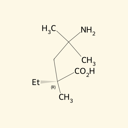 CC[C@](C)(CC(C)(C)N)C(=O)O